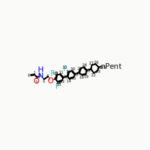 C=CC(=O)NCCOc1c(F)cc(-c2ccc(-c3ccc(C4CCC(CCCCC)CC4)cc3)cc2F)cc1F